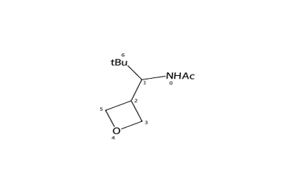 CC(=O)NC(C1COC1)C(C)(C)C